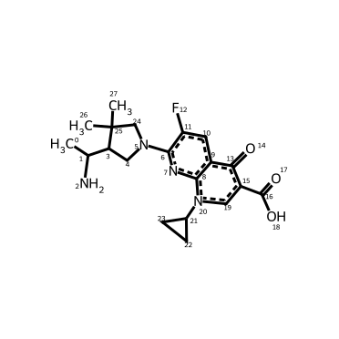 CC(N)C1CN(c2nc3c(cc2F)c(=O)c(C(=O)O)cn3C2CC2)CC1(C)C